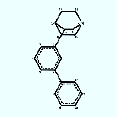 [CH]1[C](c2cccc(-c3ccccc3)c2)C2CCN1CC2